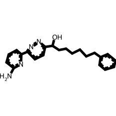 Nc1cccc(-c2ccc(C(O)CCCCCCc3ccccc3)nn2)n1